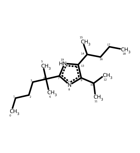 CCCCC(C)(C)c1nc(C(C)C)c(C(C)CCC)[nH]1